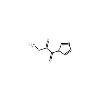 C[N]C(=O)C(=O)n1ccnc1